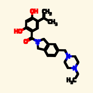 C=C(C)c1cc(C(=O)N2Cc3ccc(CN4CCN(CC)CC4)cc3C2)c(O)cc1O